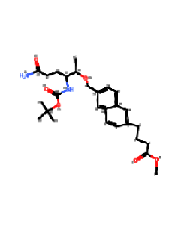 COC(=O)CCCc1ccc2cc(CO[C@H](C)[C@H](CCC(N)=O)NC(=O)OC(C)(C)C)ccc2c1